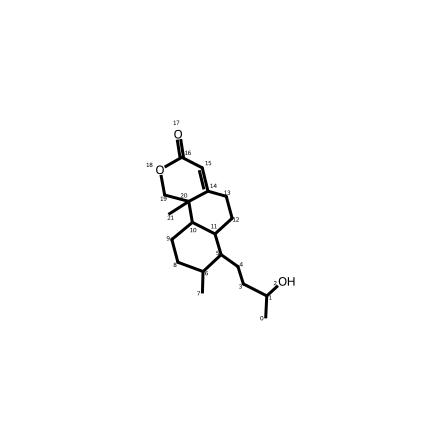 CC(O)CCC1C(C)CCC2C1CCC1=CC(=O)OCC12C